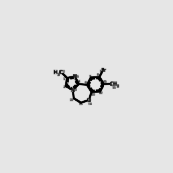 Cc1cn2c(n1)-c1cc(Br)c(C)cc1OCC2